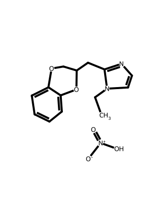 CCn1ccnc1CC1COc2ccccc2O1.O=[N+]([O-])O